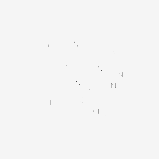 CCC1(C)c2nnc(C)n2-c2cnc(Cl)nc2N1CCC(F)(F)F